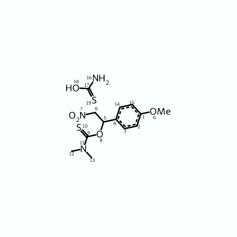 COc1ccc(C(C[N+](=O)[O-])OC(=S)N(C)C)cc1.NC(O)=S